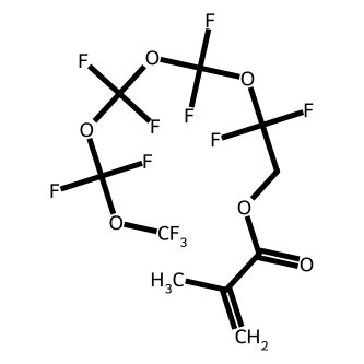 C=C(C)C(=O)OCC(F)(F)OC(F)(F)OC(F)(F)OC(F)(F)OC(F)(F)F